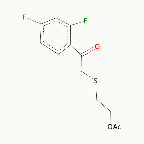 CC(=O)OCCSCC(=O)c1ccc(F)cc1F